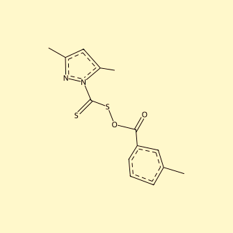 Cc1cccc(C(=O)OSC(=S)n2nc(C)cc2C)c1